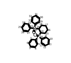 O=P(c1ccccc1)(c1ccccc1)C1CCCCC1P(=O)(c1ccccc1)c1ccccc1